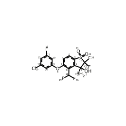 BC1(O)c2c(ccc(Oc3cc(F)cc(Cl)c3)c2C(F)F)S(=O)(=O)C1(F)F